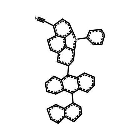 N#Cc1ccc2c3c1ccc1cc(-c4c5ccccc5c(-c5cccc6ccccc56)c5ccccc45)cc(c13)n2-c1ccccc1